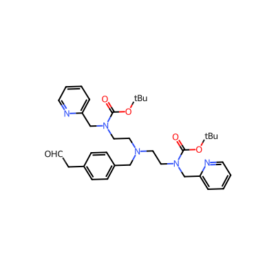 CC(C)(C)OC(=O)N(CCN(CCN(Cc1ccccn1)C(=O)OC(C)(C)C)Cc1ccc(CC=O)cc1)Cc1ccccn1